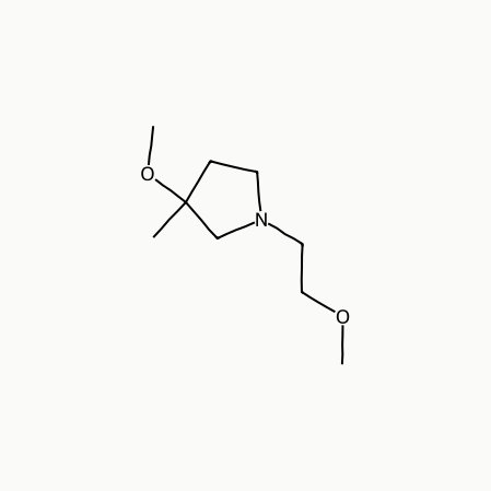 COCCN1CCC(C)(OC)C1